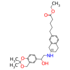 CCOC(=O)CCCCc1ccc2c(c1)C[C@@H](NCC(O)c1ccc3c(c1)COC(C)(C)O3)CC2